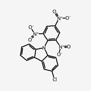 O=[N+]([O-])c1cc([N+](=O)[O-])c(-n2c3ccccc3c3cc(Cl)ccc32)c([N+](=O)[O-])c1